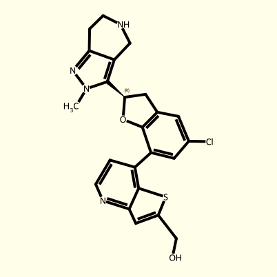 Cn1nc2c(c1[C@H]1Cc3cc(Cl)cc(-c4ccnc5cc(CO)sc45)c3O1)CNCC2